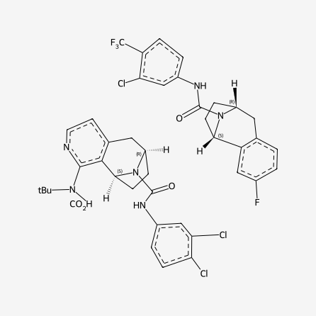 CC(C)(C)N(C(=O)O)c1nccc2c1[C@@H]1CC[C@H](C2)N1C(=O)Nc1ccc(Cl)c(Cl)c1.O=C(Nc1ccc(C(F)(F)F)c(Cl)c1)N1[C@@H]2CC[C@H]1c1cc(F)ccc1C2